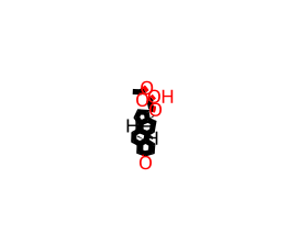 CC(=O)OC(O)C(=O)[C@H]1CC[C@H]2[C@@H]3CCC4=CC(=O)C=C[C@]4(C)[C@H]3CC[C@]12C